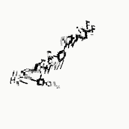 Cc1ccc(C(C)C)c(N2C(=O)CSC2=NC(=O)Nc2ccc(-c3ncn(-c4ccc(C(F)(F)F)cn4)n3)cc2Cl)c1